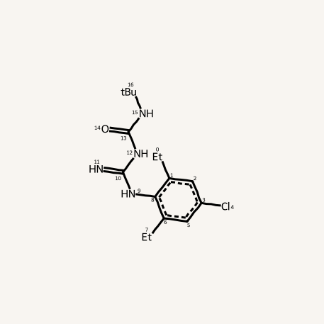 CCc1cc(Cl)cc(CC)c1NC(=N)NC(=O)NC(C)(C)C